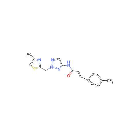 CC(=O)c1csc(Cn2ncc(NC(=O)C=Cc3ccc(C(F)(F)F)cc3)n2)n1